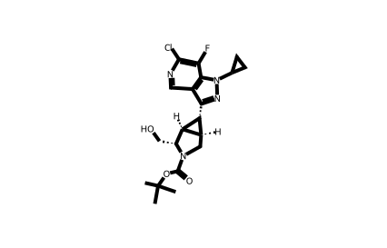 CC(C)(C)OC(=O)N1C[C@@H]2[C@@H](c3nn(C4CC4)c4c(F)c(Cl)ncc34)[C@@H]2[C@H]1CO